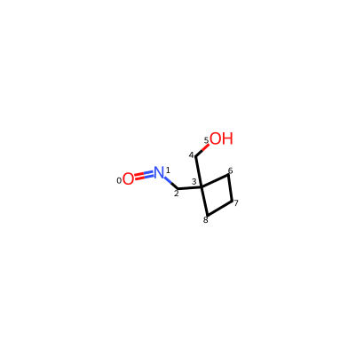 O=NCC1(CO)CCC1